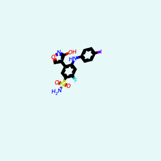 NS(=O)(=O)c1cc(-c2conc2O)c(Nc2ccc(I)cc2)cc1F